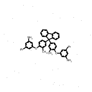 Cc1cc(C2(c3ccc(Oc4cc(N)cc(C(C)C)c4)c(C)c3)c3ccccc3-c3ccccc32)ccc1Oc1cc(N)cc(C(C)C)c1